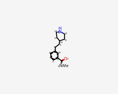 CNC(=O)c1cccc(CCC2CCNCC2)c1